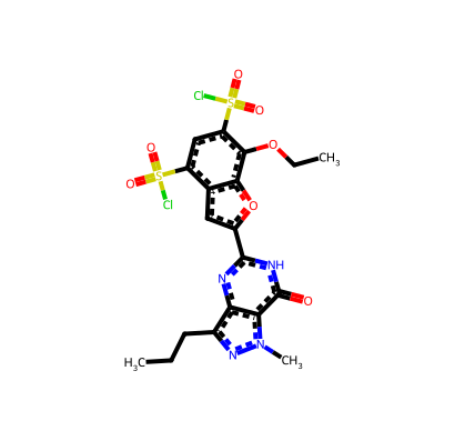 CCCc1nn(C)c2c(=O)[nH]c(-c3cc4c(S(=O)(=O)Cl)cc(S(=O)(=O)Cl)c(OCC)c4o3)nc12